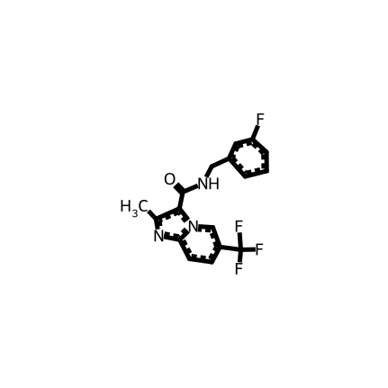 Cc1nc2ccc(C(F)(F)F)cn2c1C(=O)NCc1cccc(F)c1